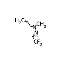 C=CCN(C)/N=C/C(F)(F)F